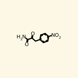 NC(=O)C(=O)Cc1ccc([N+](=O)[O-])cc1